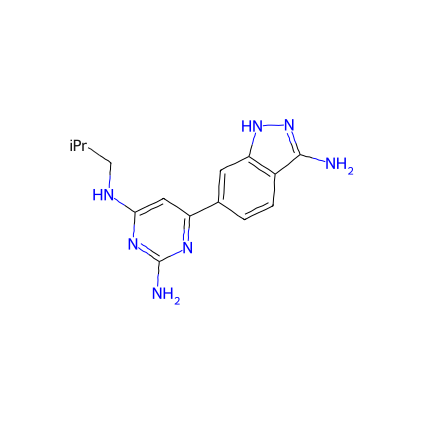 CC(C)CNc1cc(-c2ccc3c(N)n[nH]c3c2)nc(N)n1